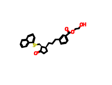 O=C(OCCO)c1cccc(CCC[C@H]2CCC(=O)[C@@H]2CSc2cccc3ccccc23)c1